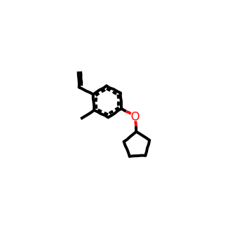 C=Cc1ccc(OC2CCCC2)cc1C